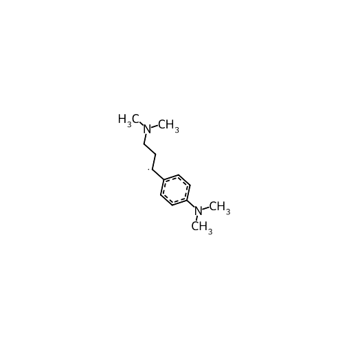 CN(C)CC[CH]c1ccc(N(C)C)cc1